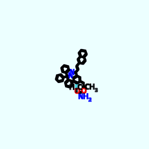 CC(C)(Cc1cc2c(/C=C/c3ccc4ccccc4c3)nn(C(c3ccccc3)(c3ccccc3)c3ccccc3)c2cc1F)OC(N)=O